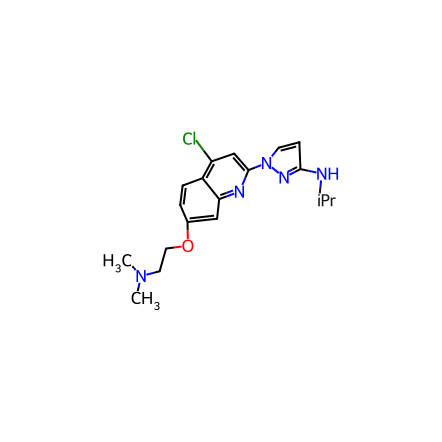 CC(C)Nc1ccn(-c2cc(Cl)c3ccc(OCCN(C)C)cc3n2)n1